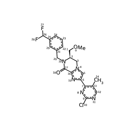 COC[C@H]1Cn2cc(-c3nc(Cl)ncc3C)nc2C(=O)N1Cc1cccc(C(F)F)c1